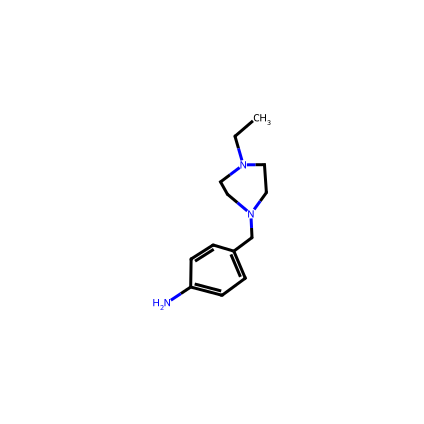 CCN1CCN(Cc2ccc(N)cc2)CC1